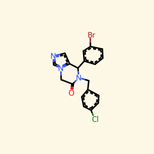 O=C1Cn2cncc2C(c2cccc(Br)c2)N1Cc1ccc(Cl)cc1